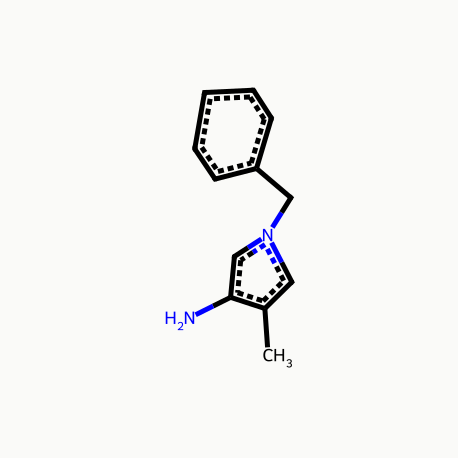 Cc1cn(Cc2ccccc2)cc1N